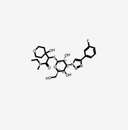 CCN(C)C(=O)C(S[C@@H]1O[C@H](CO)[C@H](O)[C@H](n2cc(-c3cccc(F)c3)nn2)[C@H]1O)C1(O)CCOCC1